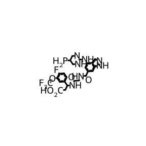 O=C(O)CC(NC(=O)CNC(=O)c1cc(NC2=NCC(P)CN2)c2cn[nH]c2c1)c1ccc(F)c(OC(F)(F)F)c1